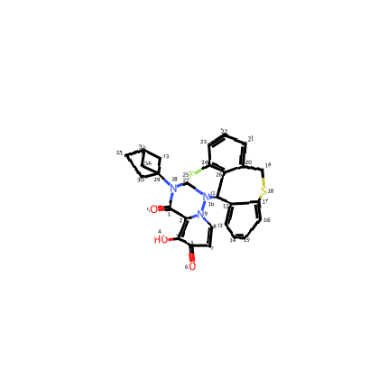 O=C1c2c(O)c(=O)ccn2N([C@@H]2c3ccccc3SCc3cccc(F)c32)CN1C12CCC(C1)C2